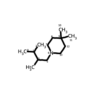 CC(C)C(C)CN1CCC(C)(C)CC1